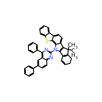 CC1(C)C2=C(C=CCC2)c2c1c1ccc3c4ccccc4sc3c1n2-c1nc(-c2ccccc2)c2cc(-c3ccccc3)ccc2n1